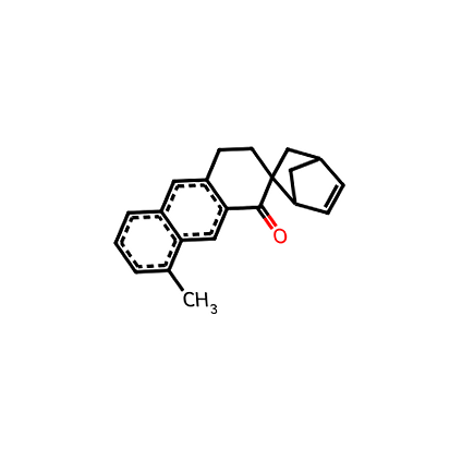 Cc1cccc2cc3c(cc12)C(=O)C1(CC3)CC2C=CC1C2